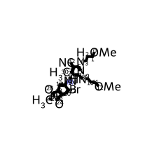 COCCCNc1nc(NCCCOC)c(/N=N/c2cc3c(cc2Br)C(=O)N(C)C3=O)c(C)c1C#N